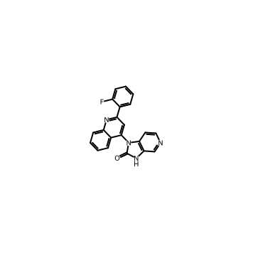 O=c1[nH]c2cnccc2n1-c1cc(-c2ccccc2F)nc2ccccc12